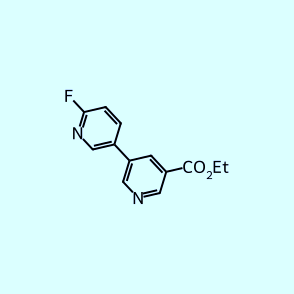 CCOC(=O)c1cncc(-c2ccc(F)nc2)c1